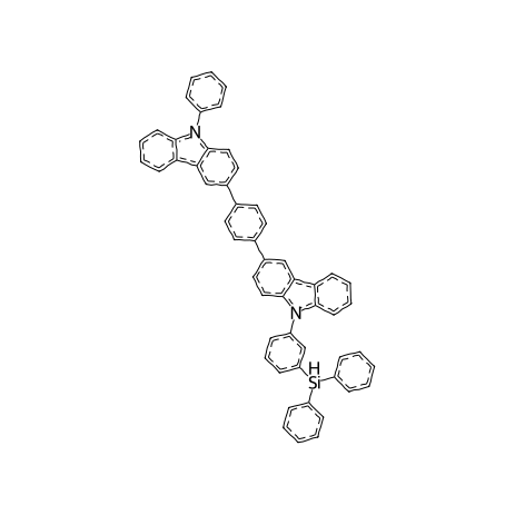 c1ccc(-n2c3ccccc3c3cc(-c4ccc(-c5ccc6c(c5)c5ccccc5n6-c5cccc([SiH](c6ccccc6)c6ccccc6)c5)cc4)ccc32)cc1